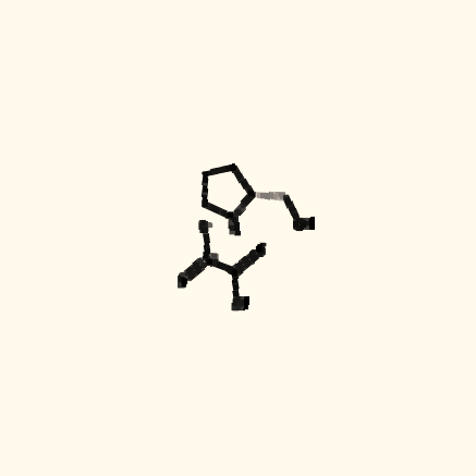 OC[C@H]1CCCN1.S=C(S)[N+](=S)[S-]